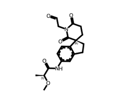 CO[C@@H](C)C(=O)Nc1ccc2c(c1)CC[C@@]21CCC(=O)N(CC=O)C1=O